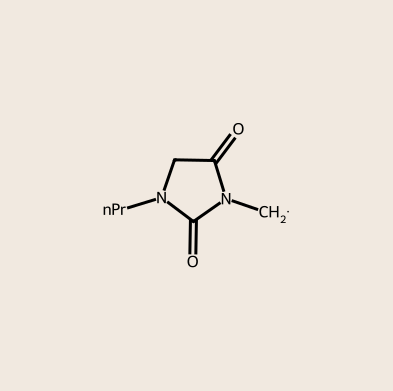 [CH2]N1C(=O)CN(CCC)C1=O